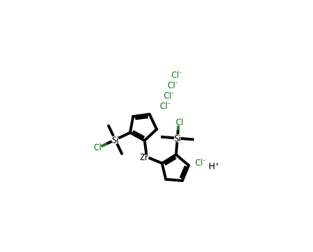 C[Si](C)(Cl)C1=[C]([Zr][C]2=C([Si](C)(C)Cl)C=CC2)CC=C1.[Cl-].[Cl-].[Cl-].[Cl-].[Cl-].[H+]